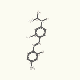 CCN(c1ccc(N=Nc2ccc([N+](=O)[O-])cc2Cl)c(C)c1)C(C)C#N